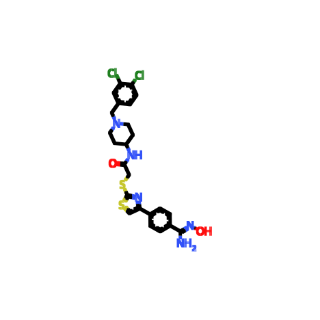 NC(=NO)c1ccc(-c2csc(SCC(=O)NC3CCN(Cc4ccc(Cl)c(Cl)c4)CC3)n2)cc1